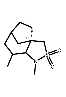 CC1CC2CC[C@]3(C2)CS(=O)(=O)N(C)C13